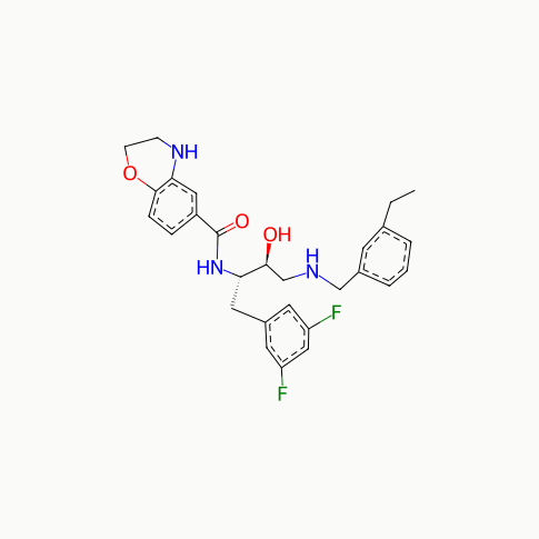 CCc1cccc(CNC[C@H](O)[C@H](Cc2cc(F)cc(F)c2)NC(=O)c2ccc3c(c2)NCCO3)c1